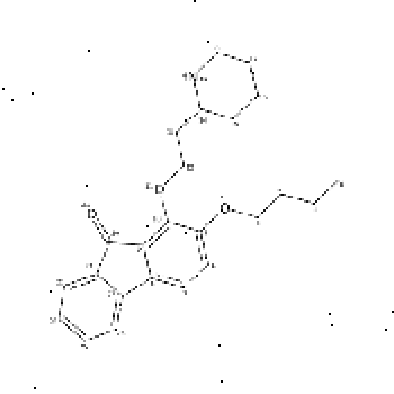 CCCCOc1ccc2c(c1OCCC1CCCCN1)C(=O)c1ccccc1-2